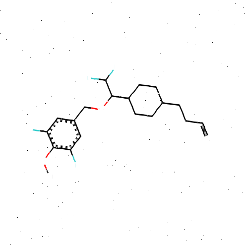 C=CCCC1CCC(C(OCc2cc(F)c(OC(F)(F)F)c(F)c2)C(F)F)CC1